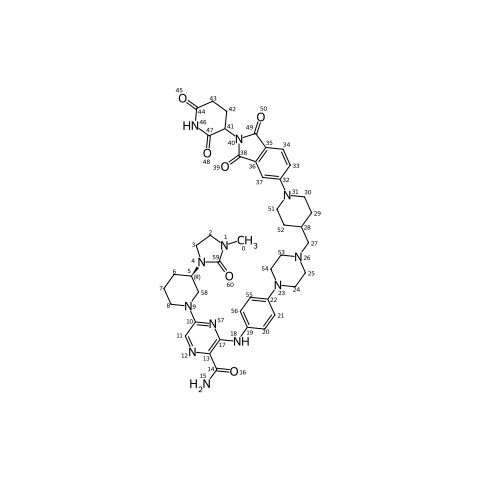 CN1CCN([C@@H]2CCCN(c3cnc(C(N)=O)c(Nc4ccc(N5CCN(CC6CCN(c7ccc8c(c7)C(=O)N(C7CCC(=O)NC7=O)C8=O)CC6)CC5)cc4)n3)C2)C1=O